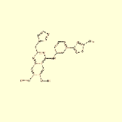 CCOc1cc2nc(Cn3ccnc3)nc(Nc3cccc(-c4csc(C)n4)c3)c2cc1OCC